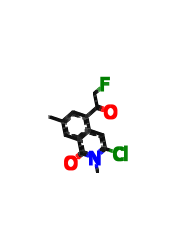 Cc1cc(C(=O)CF)c2cc(Cl)n(C)c(=O)c2c1